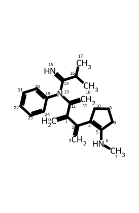 C=C(C(=C)C1=C(NC)CCC1)C(=C)N(C(=N)C(C)C)c1ccccc1